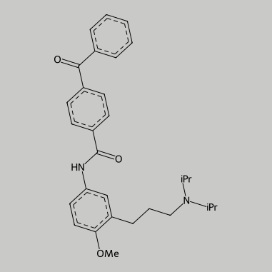 COc1ccc(NC(=O)c2ccc(C(=O)c3ccccc3)cc2)cc1CCCN(C(C)C)C(C)C